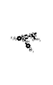 Cc1nc(C(N)=O)c2sc(N3CCN(S(=O)(=O)c4ccc(OC(F)(F)F)cc4)[C@@H](C(=O)NCc4ccc(OC(F)(F)F)cc4)C3)nc2n1